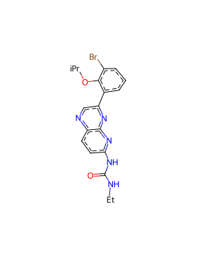 CCNC(=O)Nc1ccc2ncc(-c3cccc(Br)c3OC(C)C)nc2n1